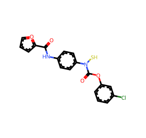 O=C(Nc1ccc(N(S)C(=O)Oc2cccc(Cl)c2)cc1)c1ccco1